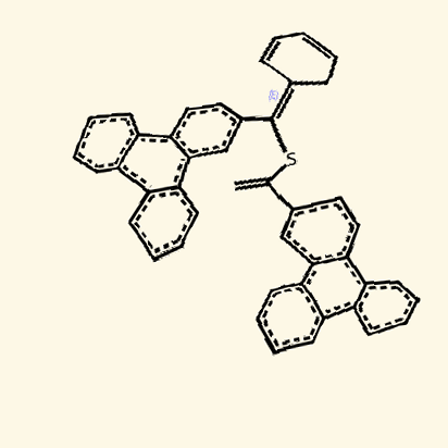 C=C(S/C(=C1/C=CC=CC1)c1ccc2c3ccccc3c3ccccc3c2c1)c1ccc2c3ccccc3c3ccccc3c2c1